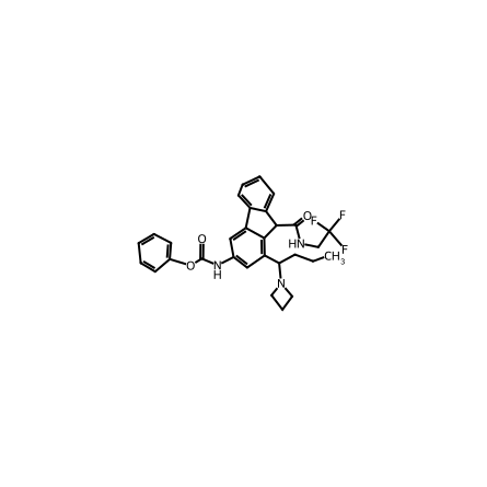 CCCC(c1cc(NC(=O)Oc2ccccc2)cc2c1C(C(=O)NCC(F)(F)F)c1ccccc1-2)N1CCC1